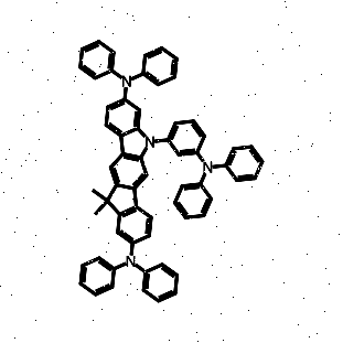 CC1(C)c2cc(N(c3ccccc3)c3ccccc3)ccc2-c2cc3c(cc21)c1ccc(N(c2ccccc2)c2ccccc2)cc1n3-c1cccc(N(c2ccccc2)c2ccccc2)c1